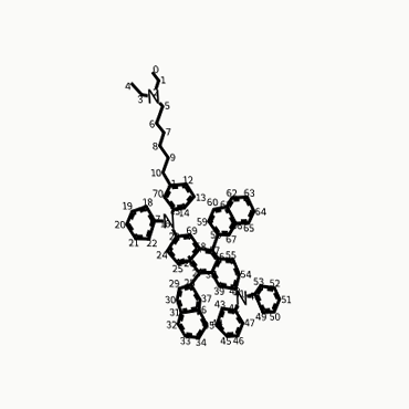 CCN(CC)CCCCCCc1cccc(N(c2ccccc2)c2ccc3c(-c4ccc5ccccc5c4)c4cc(N(c5ccccc5)c5ccccc5)ccc4c(-c4ccc5ccccc5c4)c3c2)c1